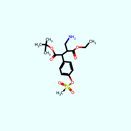 CCOC(=O)C(CN)C(C(=O)OC(C)(C)C)c1ccc(OS(C)(=O)=O)cc1